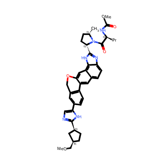 COC[C@@H]1CC[C@H](c2ncc(-c3ccc4c(c3)COc3cc5c(ccc6nc([C@@H]7CC[C@H](C)N7C(=O)[C@@H](NC(=O)OC)C(C)C)[nH]c65)cc3-4)[nH]2)C1